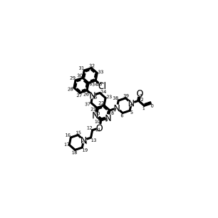 C=CC(=O)N1CCN(c2nc(OCCN3CCCCC3)nc3c2CCN(c2cccc4cccc(Cl)c24)C3)CC1